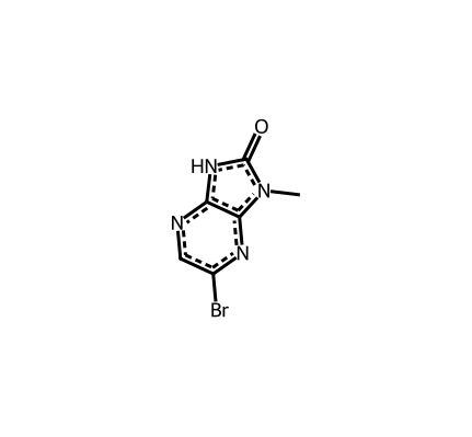 Cn1c(=O)[nH]c2ncc(Br)nc21